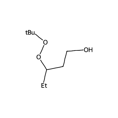 CCC(CCO)OOC(C)(C)C